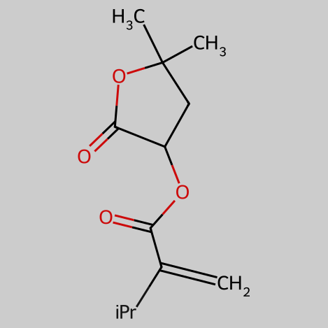 C=C(C(=O)OC1CC(C)(C)OC1=O)C(C)C